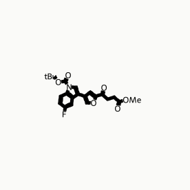 COC(=O)CCC(=O)c1cc(-c2cn(C(=O)OC(C)(C)C)c3ccc(F)cc23)co1